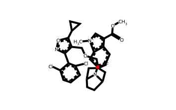 COC(=O)c1cn(C)c2cc(N3C4CCC3CC(F)(COCc3c(-c5c(Cl)cccc5Cl)noc3C3CC3)C4)ccc12